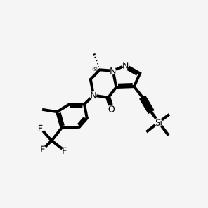 Cc1cc(N2C[C@H](C)n3ncc(C#C[Si](C)(C)C)c3C2=O)ccc1C(F)(F)F